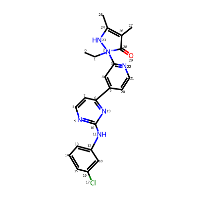 CC[N+]1(c2cc(-c3ccnc(Nc4cccc(Cl)c4)n3)ccn2)NC(C)=C(C)C1=O